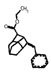 CCOC(=O)C1C2CC3CC(C2)C(=Cc2ccccc2)C1C3